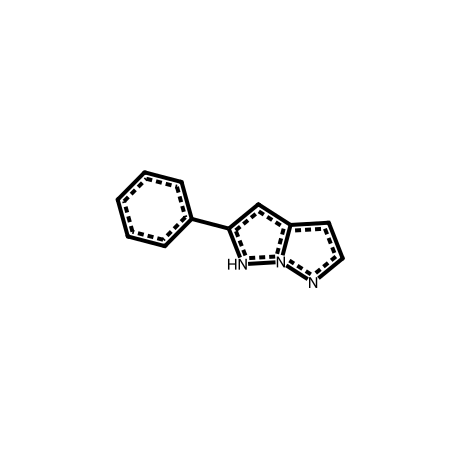 c1ccc(-c2cc3ccnn3[nH]2)cc1